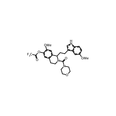 COc1ccc2[nH]cc(CCC3c4cc(OC)c(OC(=O)C(F)(F)F)cc4CCN3C(=O)N3CCOCC3)c2c1